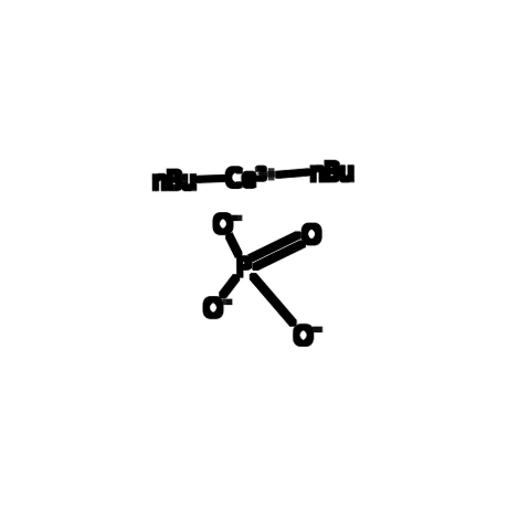 CCC[CH2][Ce+3][CH2]CCC.O=P([O-])([O-])[O-]